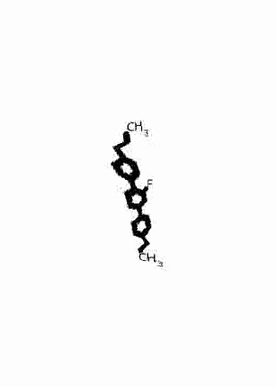 C/C=C/Cc1ccc(-c2ccc(-c3ccc(CCC)cc3)cc2F)cc1